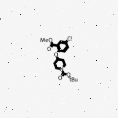 COC(=O)c1cc(Cl)ccc1OC1CCN(C(=O)OC(C)(C)C)CC1